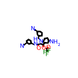 N#Cc1cccc(CNC(=O)c2c(OC(=O)C(F)(F)F)c3cc(N)ccc3n2Cc2cccc(C#N)c2)c1